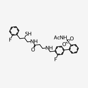 CC(=O)NS(=O)(=O)c1ccccc1-c1ccc(CNCCC(=O)NC[C@H](S)Cc2ccccc2F)c(F)c1